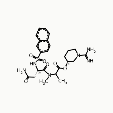 CC(C(=O)O[C@H]1CCCN(C(=N)N)C1)N(C)C(=O)[C@H](CC(N)=O)NS(=O)(=O)c1ccc2ccccc2c1